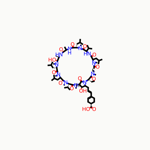 CC[C@H]1C(=O)N(C)CC(=O)N(C)C(CC(C)C)C(=O)NC(C(C)C)C(=O)N(C)[C@@H](CC(C)C)C(=O)NC(C)C(=O)N[C@H](C)[C@H](O)N(C)[C@@H](CC(C)C)C(=O)N(C)C(CC(C)C)C(=O)N(C)[C@@H](C(C)C)C(=O)N(C)[C@H]2C(=O)N1C(C/C=C/C1=CC[C@H](C(=O)O)CC1)[C@H]2O